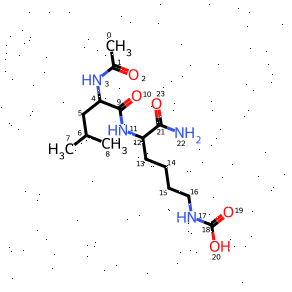 CC(=O)NC(CC(C)C)C(=O)NC(CCCCNC(=O)O)C(N)=O